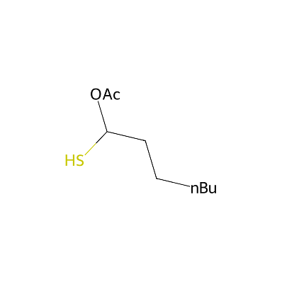 CCCCCCC(S)OC(C)=O